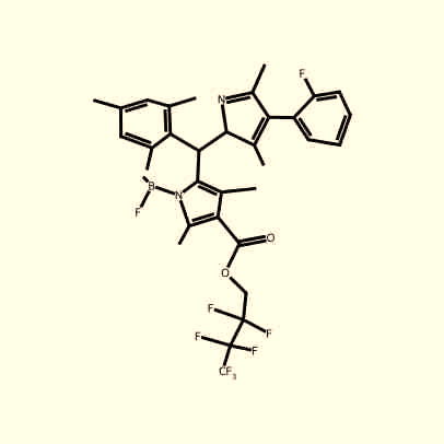 CB(F)n1c(C)c(C(=O)OCC(F)(F)C(F)(F)C(F)(F)F)c(C)c1C(c1c(C)cc(C)cc1C)C1N=C(C)C(c2ccccc2F)=C1C